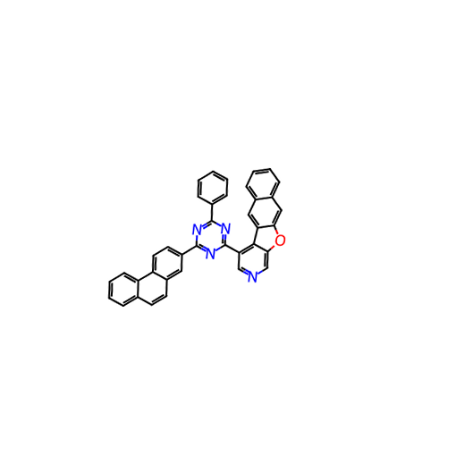 c1ccc(-c2nc(-c3ccc4c(ccc5ccccc54)c3)nc(-c3cncc4oc5cc6ccccc6cc5c34)n2)cc1